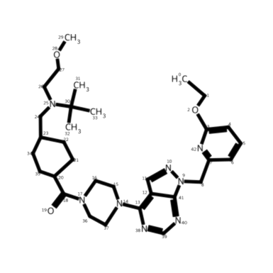 CCOc1cccc(Cn2ncc3c(N4CCN(C(=O)C5CCC(CN(CCOC)C(C)(C)C)CC5)CC4)ncnc32)n1